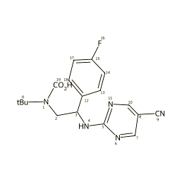 CC(C)(C)N(CC(Nc1ncc(C#N)cn1)c1ccc(F)cc1)C(=O)O